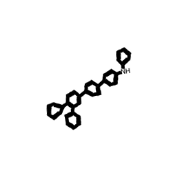 c1ccc(Nc2ccc(-c3ccc(-c4ccc(-c5ccccc5)c(-c5ccccc5)c4)cc3)cc2)cc1